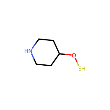 SOC1CCNCC1